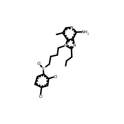 CCCc1nc2c(N)ncc(C)c2n1CCCC[S+]([O-])c1ccc(Cl)cc1Cl